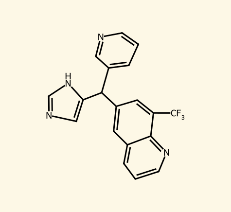 FC(F)(F)c1cc(C(c2cccnc2)c2cnc[nH]2)cc2cccnc12